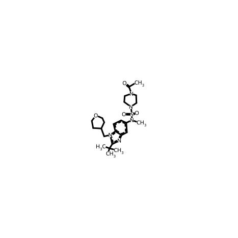 CC(=O)N1CCN(S(=O)(=O)N(C)c2ccc3c(c2)nc(C(C)(C)C)n3CC2CCOCC2)CC1